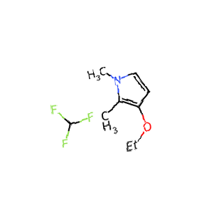 CCOc1ccn(C)c1C.FC(F)F